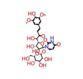 COc1cc(/C=C/C(=O)C(O)[C@H]2O[C@@](O[C@@H]3O[C@H](CO)[C@@H](O)[C@H](O)[C@H]3O)(n3ccc(=O)[nH]c3=O)[C@H](O)[C@@H]2O)cc(OC)c1O